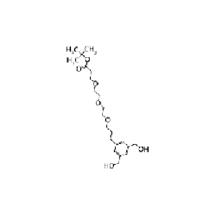 CC(C)(C)OC(=O)CCOCCOCCOCCCc1cc(CO)cc(CO)c1